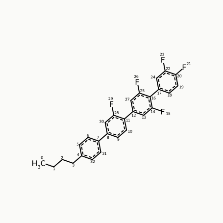 CCCCc1ccc(-c2ccc(-c3cc(F)c(-c4ccc(F)c(F)c4)c(F)c3)c(F)c2)cc1